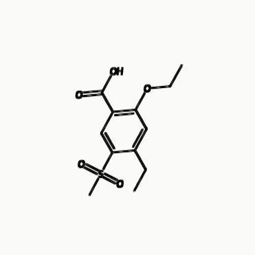 CCOc1cc(CC)c(S(C)(=O)=O)cc1C(=O)O